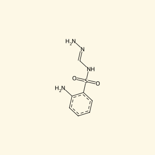 NN=CNS(=O)(=O)c1ccccc1N